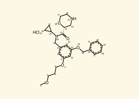 COCCCOc1cc(CN(C(=O)[C@H]2CNCCO2)C2CC2)cc(OCc2ccccc2)c1.Cl